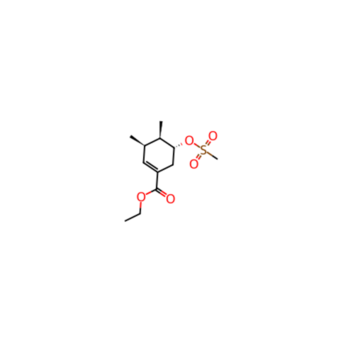 CCOC(=O)C1=C[C@@H](C)[C@@H](C)[C@H](OS(C)(=O)=O)C1